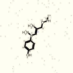 N/C(=C\N(N)c1ccc(O)cc1)COPI